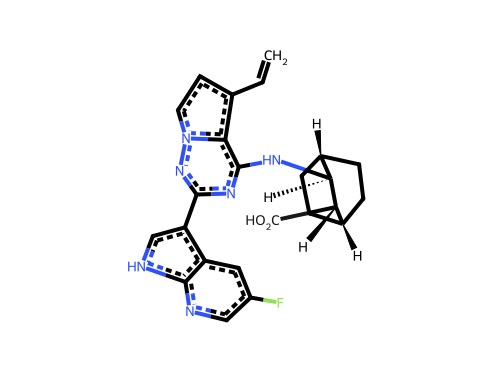 C=Cc1ccn2nc(-c3c[nH]c4ncc(F)cc34)nc(N[C@H]3[C@H]4CC[C@H](CC4)[C@@H]3C(=O)O)c12